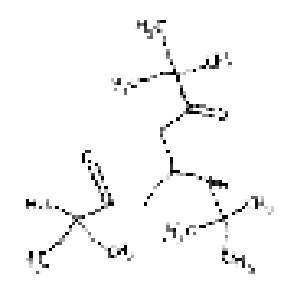 CC(C)(C)NC(CC(=O)C(C)(C)C)CC(=O)C(C)(C)C